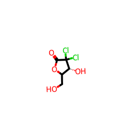 O=C1OC(CO)[C@@H](O)C1(Cl)Cl